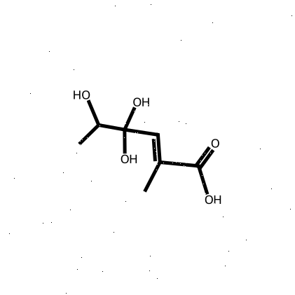 C/C(=C\C(O)(O)C(C)O)C(=O)O